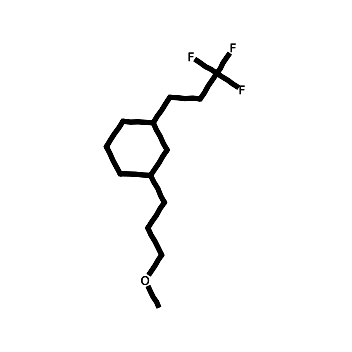 COCCCC1CCCC(CCC(F)(F)F)C1